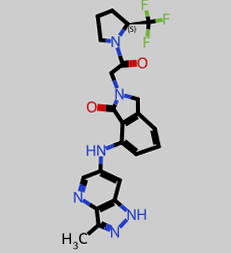 Cc1n[nH]c2cc(Nc3cccc4c3C(=O)N(CC(=O)N3CCC[C@H]3C(F)(F)F)C4)cnc12